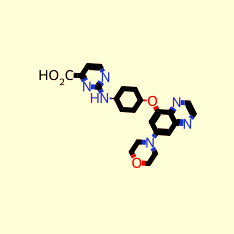 O=C(O)c1ccnc(N[C@H]2CC[C@@H](Oc3cc(N4CCOCC4)cc4nccnc34)CC2)n1